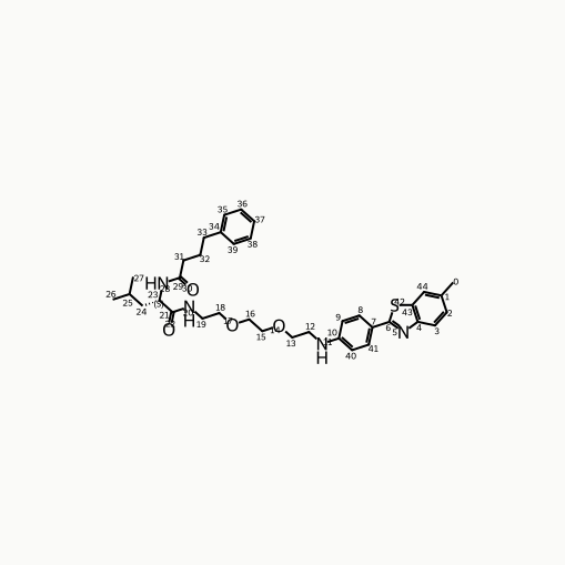 Cc1ccc2nc(-c3ccc(NCCOCCOCCNC(=O)[C@H](CC(C)C)NC(=O)CCCc4ccccc4)cc3)sc2c1